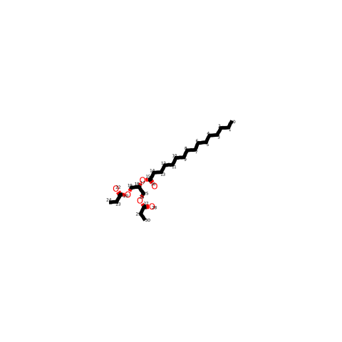 CCCCCCCCCCCCCCCC(=O)OC(COC(=O)CC)COC(=O)CC